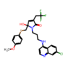 COc1ccc(SCC2(O)C=C(CC(F)(F)F)C(=O)N2CCCNc2ccnc3cc(Cl)ccc23)cc1